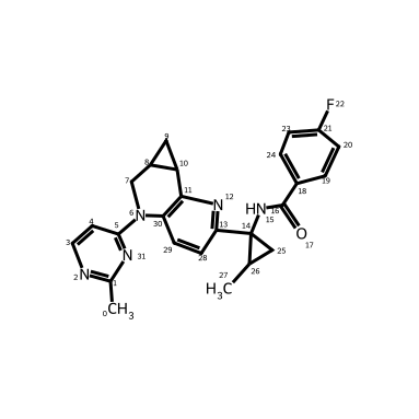 Cc1nccc(N2CC3CC3c3nc(C4(NC(=O)c5ccc(F)cc5)CC4C)ccc32)n1